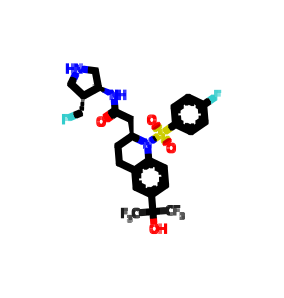 O=C(C[C@@H]1CCc2cc(C(O)(C(F)(F)F)C(F)(F)F)ccc2N1S(=O)(=O)c1ccc(F)cc1)N[C@@H]1CNC[C@H]1CF